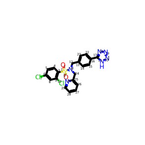 O=S(=O)(c1ccc(Cl)cc1Cl)N(Cc1ccc(-c2nnn[nH]2)cc1)Cc1ccccn1